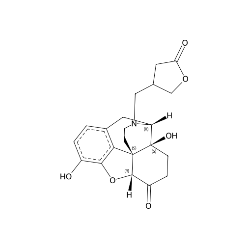 O=C1CC(CN2CC[C@]34c5c6ccc(O)c5O[C@H]3C(=O)CC[C@@]4(O)[C@H]2C6)CO1